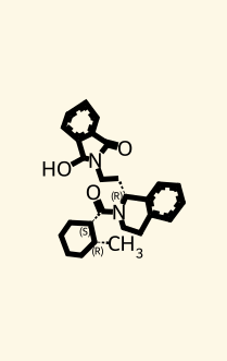 C[C@@H]1CCCC[C@@H]1C(=O)N1CCc2ccccc2[C@H]1CCN1C(=O)c2ccccc2C1O